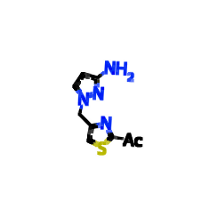 CC(=O)c1nc(Cn2ccc(N)n2)cs1